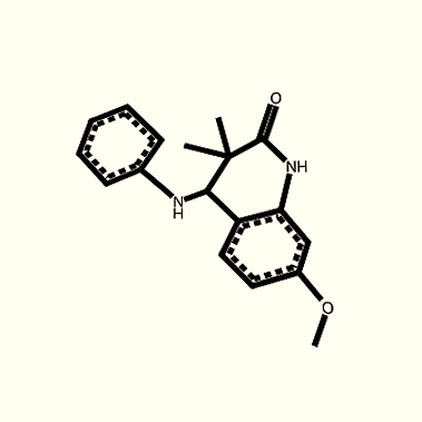 COc1ccc2c(c1)NC(=O)C(C)(C)C2Nc1ccccc1